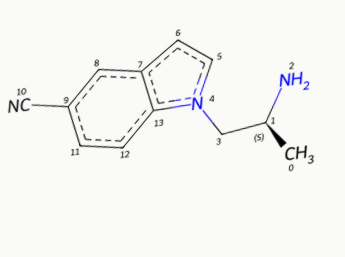 C[C@H](N)Cn1ccc2cc(C#N)ccc21